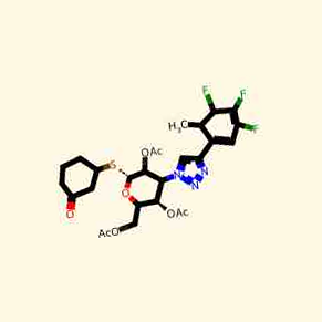 CC(=O)OCC1O[C@H](SC2CCCC(=O)C2)C(OC(C)=O)C(n2cc(C3=CC(F)=C(F)C(F)C3C)nn2)[C@H]1OC(C)=O